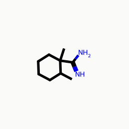 CC1CCCCC1(C)C(=N)N